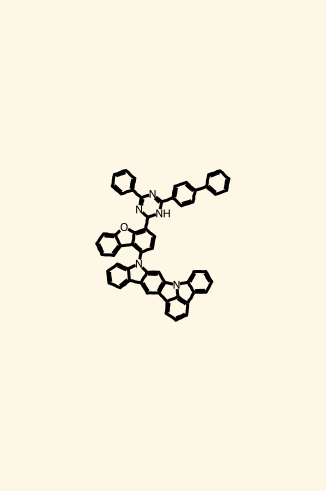 c1ccc(C2=NC(c3ccc(-n4c5ccccc5c5cc6c7cccc8c9ccccc9n(c6cc54)c87)c4c3oc3ccccc34)NC(c3ccc(-c4ccccc4)cc3)=N2)cc1